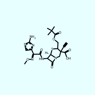 C#CC1(C(=O)O)CN2C(=O)C(NC(=O)C(=NOC)c3csc(N)n3)[C@H]2SC1COC(=O)C(C)(C)C